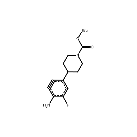 CC(C)(C)OC(=O)N1CCC(c2c#cc(N)c(F)c2)CC1